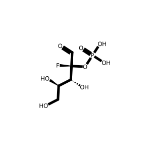 O=C[C@](F)(OP(=O)(O)O)[C@H](O)[C@H](O)CO